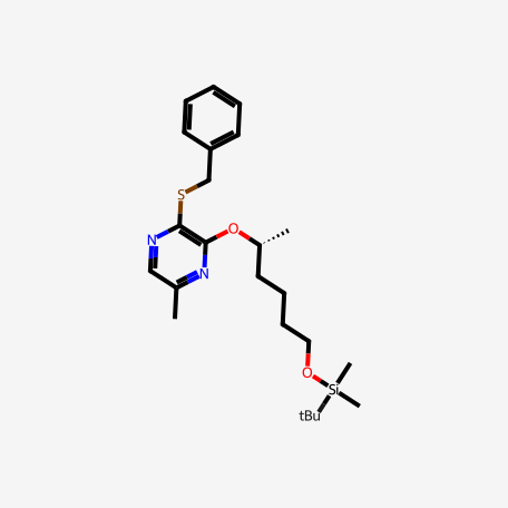 Cc1cnc(SCc2ccccc2)c(O[C@H](C)CCCCO[Si](C)(C)C(C)(C)C)n1